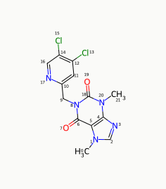 Cn1cnc2c1c(=O)n(Cc1cc(Cl)c(Cl)cn1)c(=O)n2C